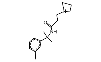 Cc1cccc(C(C)(C)NC(=O)CCN2CCC2)c1